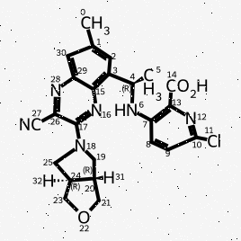 Cc1cc([C@@H](C)Nc2ccc(Cl)nc2C(=O)O)c2nc(N3C[C@@H]4COC[C@H]4C3)c(C#N)nc2c1